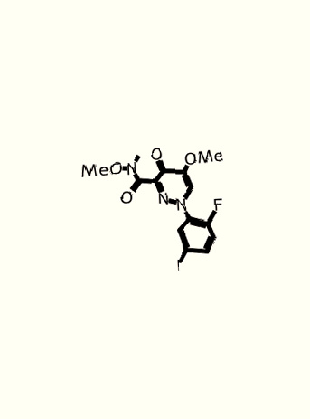 COc1cn(-c2cc(I)ccc2F)nc(C(=O)N(C)OC)c1=O